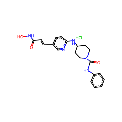 Cl.O=C(/C=C/c1ccc(NC2CCN(C(=O)Nc3ccccc3)CC2)nc1)NO